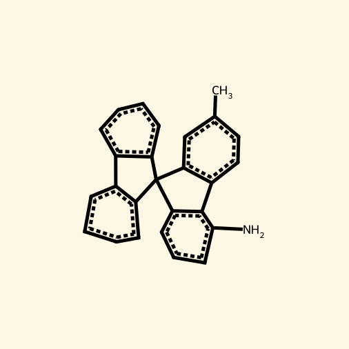 Cc1ccc2c(c1)C1(c3ccccc3-c3ccccc31)c1cccc(N)c1-2